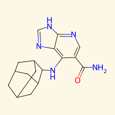 NC(=O)c1cnc2[nH]cnc2c1NC1C2CC3CC(C2)CC1C3